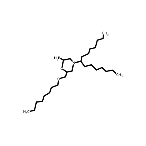 BC1CN(C(CCCCCCC)CCCCCCC)CC(COCCCCCCCC)O1